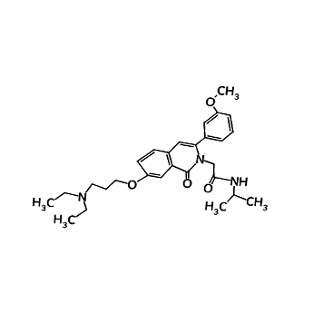 CCN(CC)CCCOc1ccc2cc(-c3cccc(OC)c3)n(CC(=O)NC(C)C)c(=O)c2c1